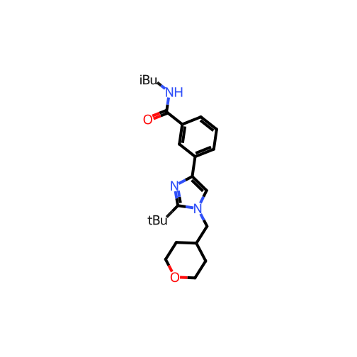 CCC(C)NC(=O)c1cccc(-c2cn(CC3CCOCC3)c(C(C)(C)C)n2)c1